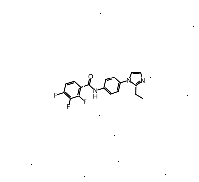 CCc1nccn1-c1ccc(NC(=O)c2ccc(F)c(F)c2F)cc1